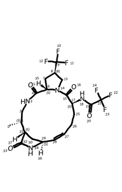 C[C@@H]1CNC(=O)[C@@H]2C[C@@H](C(F)(F)F)CN2C(=O)[C@@H](NC(=O)C(F)(F)F)CCC=C[C@@H]2C[C@@H]1C(=O)N2